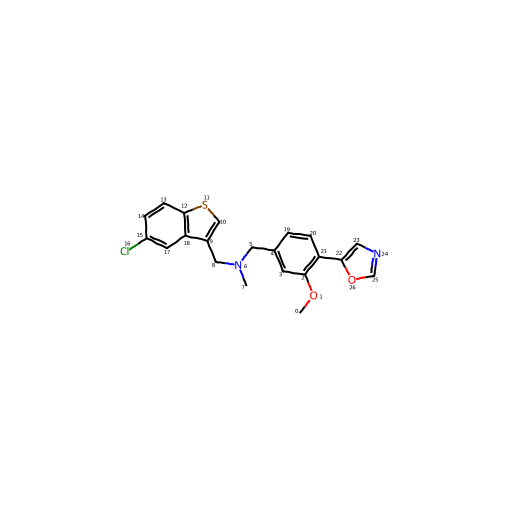 COc1cc(CN(C)Cc2csc3ccc(Cl)cc23)ccc1-c1cnco1